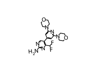 Nc1ncc(-c2cc(N3CCOCC3)nc(N3CCOCC3)c2)c(C(F)F)n1